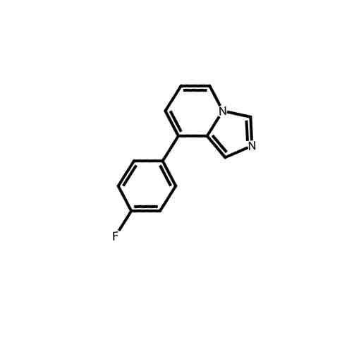 Fc1ccc(-c2cccn3cncc23)cc1